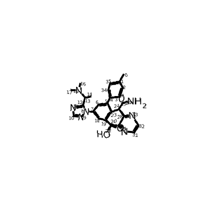 Cc1ccc(-c2cc(-n3ncnc3C(C)N(C)C)cc(C(=O)O)c2C(C(N)=O)c2cnccn2)cc1